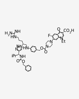 CCn1cc(C(=O)O)c(=O)c2cc(F)c(N3CCN(C(=O)OCc4ccc(NCC(CCCNC(=N)N)n5cc([C@@H](NC(=O)OCc6ccccc6)C(C)C)nn5)cc4)CC3)cc21